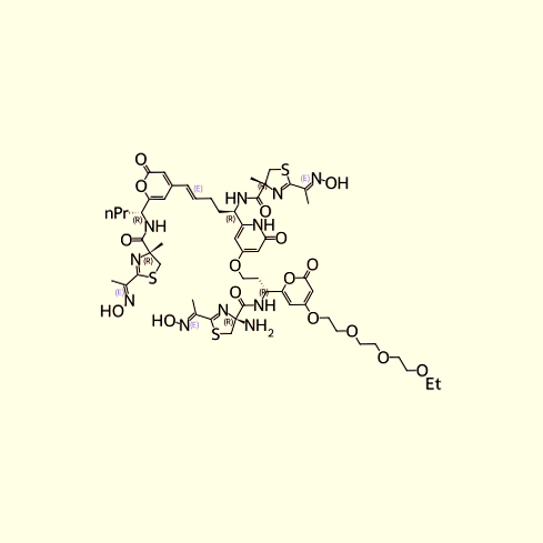 CCC[C@@H](NC(=O)[C@]1(C)CSC(/C(C)=N/O)=N1)c1cc(/C=C/CC[C@@H](NC(=O)[C@]2(C)CSC(/C(C)=N/O)=N2)c2cc(OCC[C@@H](NC(=O)[C@]3(N)CSC(/C(C)=N/O)=N3)c3cc(OCCOCCOCCOCC)cc(=O)o3)cc(=O)[nH]2)cc(=O)o1